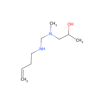 C=CCCNCN(C)CC(C)O